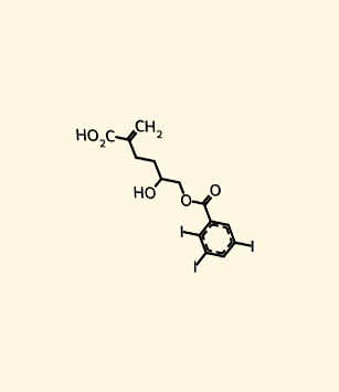 C=C(CCC(O)COC(=O)c1cc(I)cc(I)c1I)C(=O)O